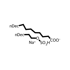 CCCCCCCCCCCCCCCCCC(=O)[O-].CCCCCCCCCCCCOS(=O)(=O)O.[Na+]